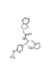 O=C(CC1Cc2ccccc2C1)N[C@H](CN1CCCC1)[C@H](O)c1ccc(OC2CC2)cc1